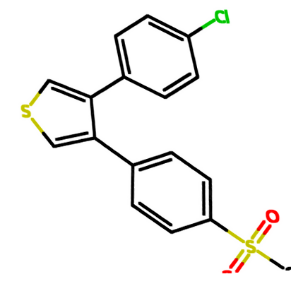 CS(=O)(=O)c1ccc(-c2cscc2-c2ccc(Cl)cc2)cc1